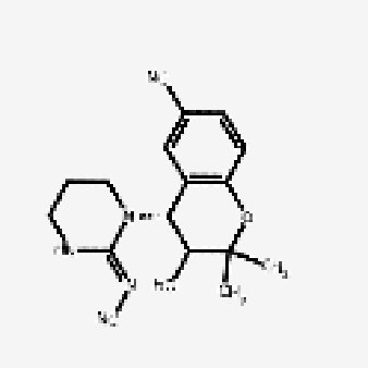 CC1(C)Oc2ccc(C#N)cc2[C@@H](N2CCCNC2=NC#N)C1O